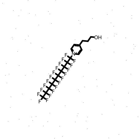 OCCCc1cc[n+](C(F)(F)C(F)(F)C(F)(F)C(F)(F)C(F)(F)C(F)(F)C(F)(F)C(F)(F)C(F)(F)C(F)(F)F)cc1